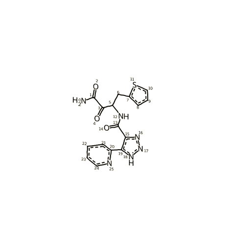 NC(=O)C(=O)C(Cc1cccs1)NC(=O)c1nn[nH]c1-c1ccccn1